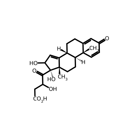 C[C@]12C=CC(=O)C=C1CC[C@H]1C3=CC(O)[C@](O)(C(=O)C(O)CC(=O)O)[C@@]3(C)CC[C@@H]12